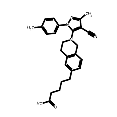 Cc1ccc(-n2nc(C)c(C#N)c2N2CCc3cc(CCCCC(=O)O)ccc3C2)cc1